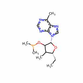 CC[C@H]1O[C@@H](n2cnc3c(C)ncnc32)C(OP(C)C)C1C